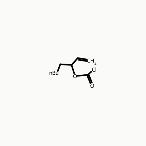 C=CC(CCCCC)OC(=O)Cl